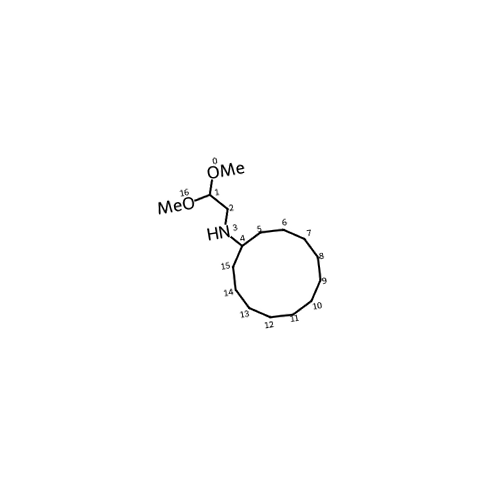 COC(CNC1CCCCCCCCCCC1)OC